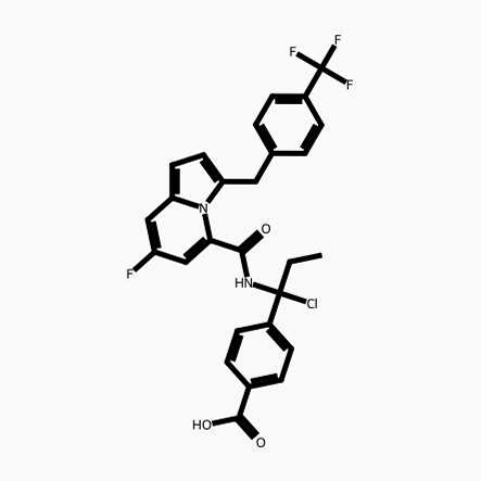 CCC(Cl)(NC(=O)c1cc(F)cc2ccc(Cc3ccc(C(F)(F)F)cc3)n12)c1ccc(C(=O)O)cc1